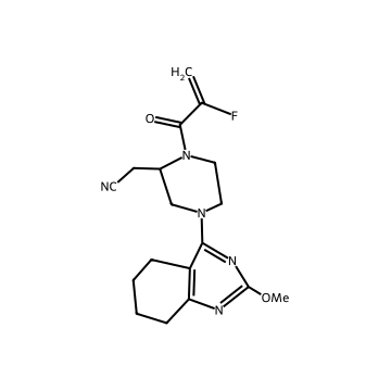 C=C(F)C(=O)N1CCN(c2nc(OC)nc3c2CCCC3)CC1CC#N